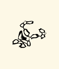 c1ccc2c(c1)-c1ccccc1C21c2ccccc2-c2c(N(c3ccc(-c4cccc5oc6ccccc6c45)cc3)c3ccc(-c4cccc5oc6ccccc6c45)cc3)cccc21